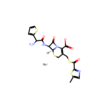 Cc1cnc(C(=O)SCC2=C(C(=O)[O-])N3C(=O)C(NC(=O)C(N)c4cccs4)[C@@H]3SC2)s1.[Na+]